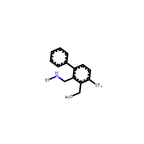 CCNCc1c(-c2ccccc2)ccc(C(F)(F)F)c1COC(C)=O